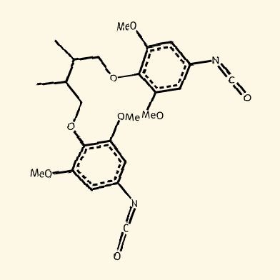 COc1cc(N=C=O)cc(OC)c1OCC(C)C(C)COc1c(OC)cc(N=C=O)cc1OC